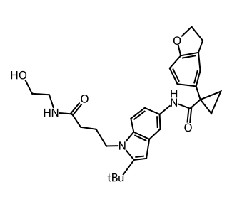 CC(C)(C)c1cc2cc(NC(=O)C3(c4ccc5c(c4)CCO5)CC3)ccc2n1CCCC(=O)NCCO